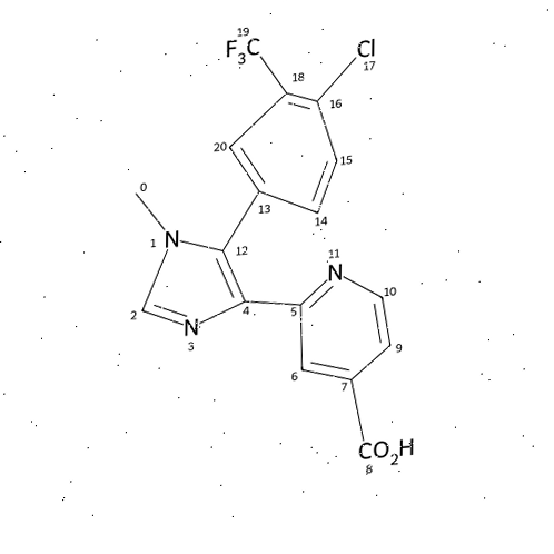 Cn1cnc(-c2cc(C(=O)O)ccn2)c1-c1ccc(Cl)c(C(F)(F)F)c1